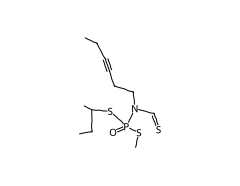 CCC#CCCN(C=S)P(=O)(SC)SC(C)CC